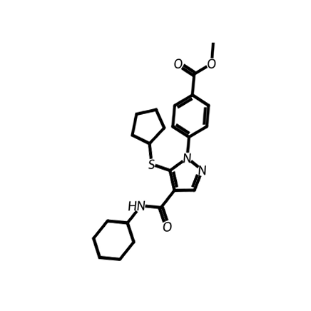 COC(=O)c1ccc(-n2ncc(C(=O)NC3CCCCC3)c2SC2CCCC2)cc1